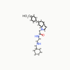 O=C(Cn1ccc2ccc(-c3ccc(C(=O)O)cc3)cc21)NCCNCC1CCCCC1